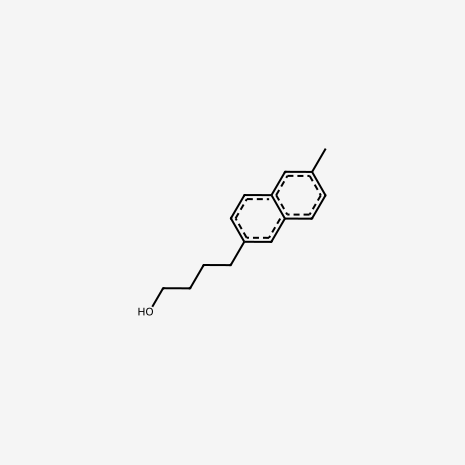 Cc1ccc2cc(CCCCO)ccc2c1